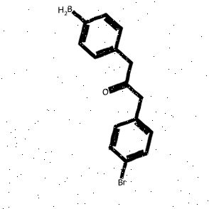 Bc1ccc(CC(=O)Cc2ccc(Br)cc2)cc1